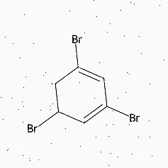 BrC1=CC(Br)=CC(Br)[CH]1